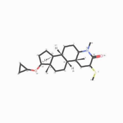 CSC1C[C@@]2(C)C(CC[C@@H]3[C@H]2CC[C@]2(C)C(OC4CC4)CC[C@@H]32)N(C)C1=O